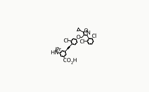 CC(C)Nc1cc(C#Cc2ccc(OCc3c(-c4c(Cl)cccc4Cl)noc3C3CC3)cc2Cl)cc(C(=O)O)c1